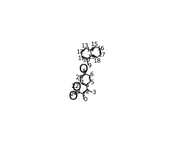 Cc1c(C)c2ccc(OCc3cccc4ccccc34)cc2oc1=O